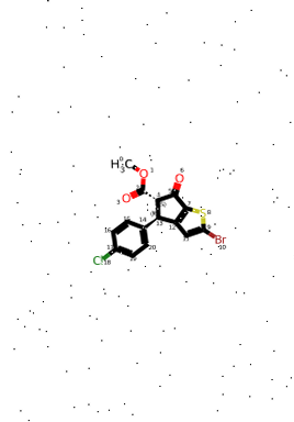 COC(=O)[C@@H]1C(=O)c2sc(Br)cc2[C@H]1c1ccc(Cl)cc1